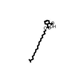 CC(C)CCCCCCCCCCCCCCCCCOC(=O)C1CC=CCC1C(=O)O